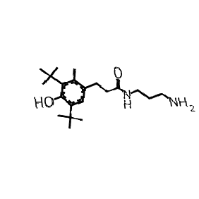 Cc1c(CCC(=O)NCCCN)cc(C(C)(C)C)c(O)c1C(C)(C)C